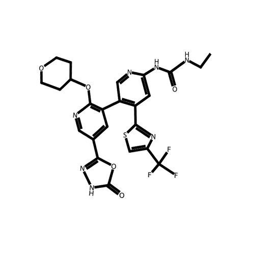 CCNC(=O)Nc1cc(-c2nc(C(F)(F)F)cs2)c(-c2cc(-c3n[nH]c(=O)o3)cnc2OC2CCOCC2)cn1